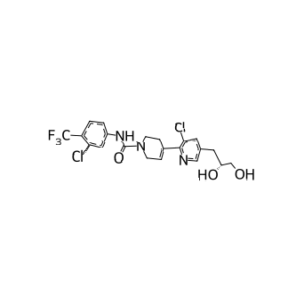 O=C(Nc1ccc(C(F)(F)F)c(Cl)c1)N1CC=C(c2ncc(C[C@@H](O)CO)cc2Cl)CC1